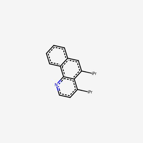 CC(C)c1ccnc2c1c(C(C)C)cc1ccccc12